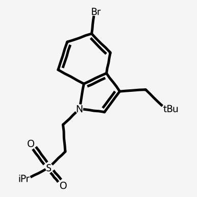 CC(C)S(=O)(=O)CCn1cc(CC(C)(C)C)c2cc(Br)ccc21